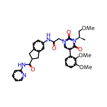 COC[C@@H](C)n1c(=O)c(-c2cccc(OC)c2OC)cn(CC(=O)Nc2ccc3c(c2)CC(C(=O)Nc2ccccn2)C3)c1=O